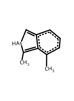 CC1=c2c(C)cccc2=[C][AsH]1